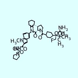 Cn1c(C(=O)NS(=O)(=O)N2CCCC2)cc2cc(NC(=O)[C@@H]3[C@H](C4CCCCC4)CCN3C(=O)C3CCC([C@](CF)(OC(N)=O)C(C)(C)C)CC3)ccc21